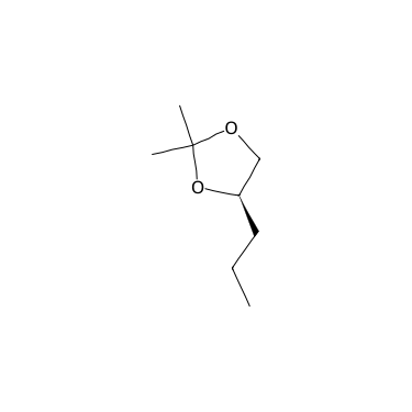 CCC[C@@H]1COC(C)(C)O1